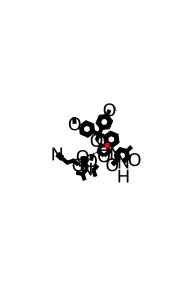 COc1ccc(C(O[C@H]2C[C@H](n3cc(C)c(=O)[nH]c3=O)O[C@@H]2COP(=O)(OCCC#N)N(C(C)C)C(C)C)(c2ccccc2)c2ccc(OC)cc2)cc1